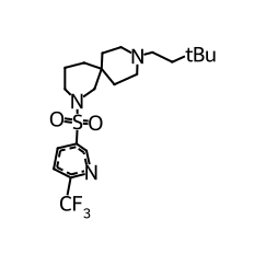 CC(C)(C)CCN1CCC2(CCCN(S(=O)(=O)c3ccc(C(F)(F)F)nc3)C2)CC1